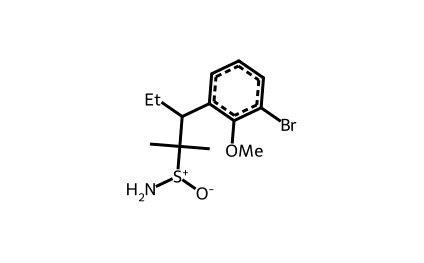 CCC(c1cccc(Br)c1OC)C(C)(C)[S+](N)[O-]